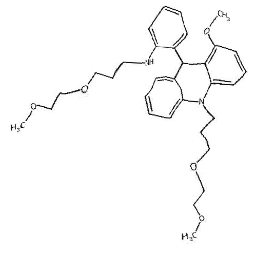 COCCOCCCNc1ccccc1C1c2ccccc2N(CCCOCCOC)c2cccc(OC)c21